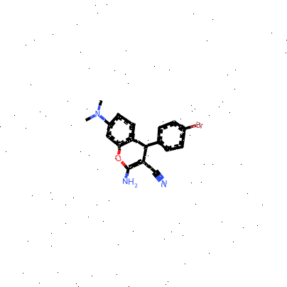 CN(C)c1ccc2c(c1)OC(N)=C(C#N)C2c1ccc(Br)cc1